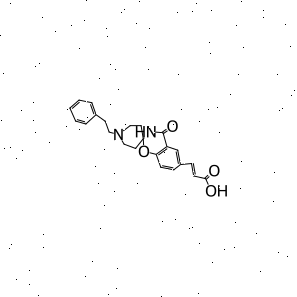 O=C(O)/C=C/c1ccc2c(c1)C(=O)NC1(CCN(CCc3ccccc3)CC1)O2